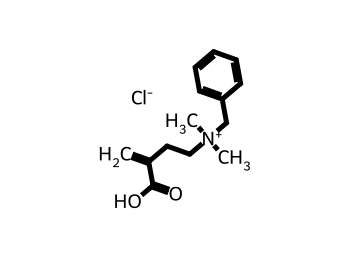 C=C(CC[N+](C)(C)Cc1ccccc1)C(=O)O.[Cl-]